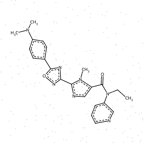 CCN(C(=O)c1cnc(-c2noc(-c3ccc(N(C)C)cc3)n2)n1C)c1cccnc1